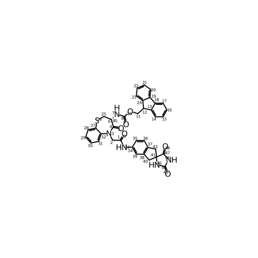 O=C(CN1C(=O)[C@@H](NC(=O)OCC2c3ccccc3-c3ccccc32)CSc2ccccc21)Nc1ccc2c(c1)CC1(C2)NC(=O)NC1=O